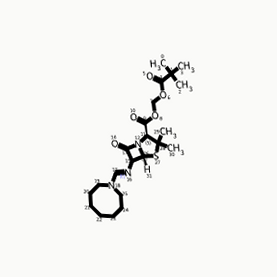 CC(C)(C)C(=O)OCOC(=O)[C@@H]1N2C(=O)C(/N=C/N3CCCCCCC3)[C@H]2SC1(C)C